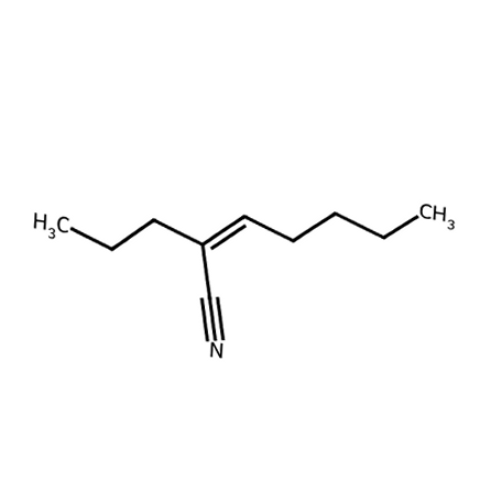 CCCCC=C(C#N)CCC